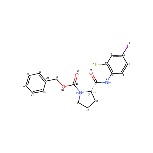 O=C(Nc1ccc(I)cc1F)[C@@H]1CCCN1C(=O)OCc1ccccc1